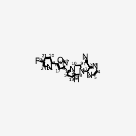 N#Cc1nccnc1N1CCN2[C@@H](CC[C@@H]2c2cc(-c3ccc(F)cn3)on2)C1